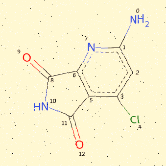 Nc1cc(Cl)c2c(n1)C(=O)NC2=O